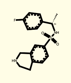 C[C@H](NS(=O)(=O)c1ccc2c(c1)CNCC2)c1ccc(F)cc1